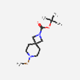 CSN1CCC2(CC1)CN(C(=O)OC(C)(C)C)C2